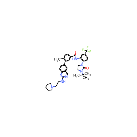 Cc1ccc(C(=O)Nc2cc(C(F)(F)F)ccc2N2CCN(C(C)(C)C)C2=O)cc1-c1ccc2nc(NCCN3CCCCC3)ncc2c1